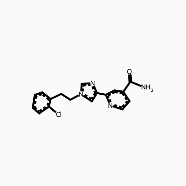 NC(=O)c1ccnc(-c2cn(CCc3ccccc3Cl)cn2)c1